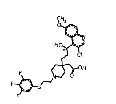 COc1ccc2ncc(Cl)c([C@H](O)CCC3(CC(=O)O)CCN(CCSc4cc(F)c(F)c(F)c4)CC3)c2c1